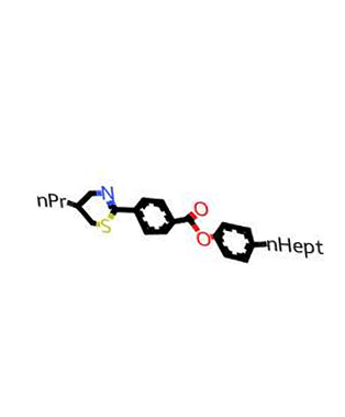 CCCCCCCc1ccc(OC(=O)c2ccc(C3=NCC(CCC)CS3)cc2)cc1